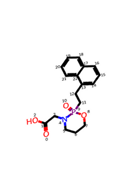 O=C(O)CN1CCCOP1(=O)CCc1cccc2ccccc12